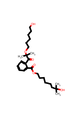 CC(C)(O)CCCCCCOC(=O)c1ccccc1C(=O)C(C)(C)OCCCCCCO